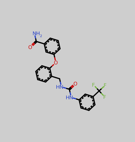 NC(=O)c1cccc(Oc2ccccc2CNC(=O)Nc2cccc(C(F)(F)F)c2)c1